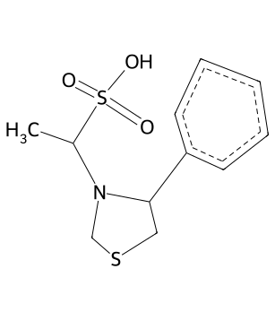 CC(N1CSCC1c1ccccc1)S(=O)(=O)O